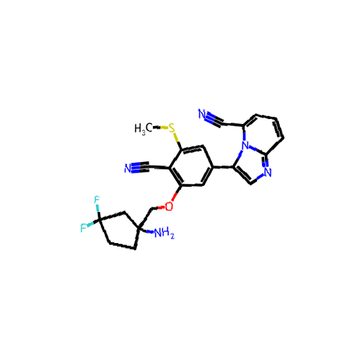 CSc1cc(-c2cnc3cccc(C#N)n23)cc(OCC2(N)CCC(F)(F)C2)c1C#N